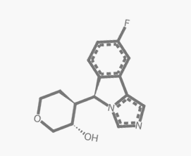 O[C@@H]1COCC[C@H]1[C@H]1c2ccc(F)cc2-c2cncn21